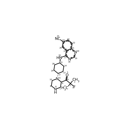 CC(C)(F)C(=O)C1CNCCN1[C@H]1CC[C@H](Nc2ncnc3ccc(C#N)cc23)CC1